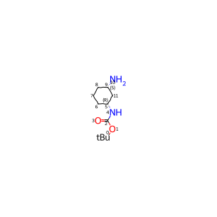 CC(C)(C)OC(=O)N[C@@H]1CCC[C@H](N)C1